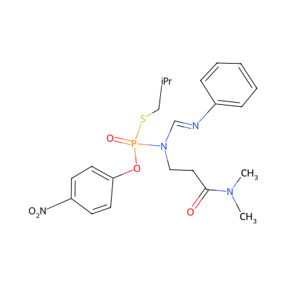 CC(C)CSP(=O)(Oc1ccc([N+](=O)[O-])cc1)N(C=Nc1ccccc1)CCC(=O)N(C)C